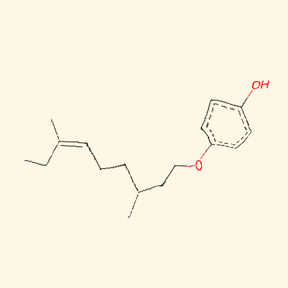 CCC(C)=CCCC(C)CCOc1ccc(O)cc1